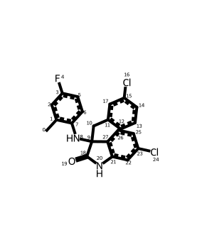 Cc1cc(F)ccc1NC1(Cc2cccc(Cl)c2)C(=O)Nc2cc(Cl)ccc21